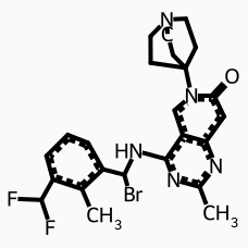 Cc1nc(NC(Br)c2cccc(C(F)F)c2C)c2cn(C34CCN(CC3)CC4)c(=O)cc2n1